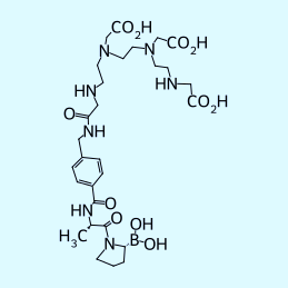 C[C@@H](NC(=O)c1ccc(CNC(=O)CNCCN(CCN(CCNCC(=O)O)CC(=O)O)CC(=O)O)cc1)C(=O)N1CCC[C@H]1B(O)O